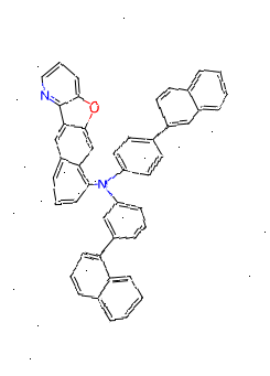 c1cc(-c2cccc3ccccc23)cc(N(c2ccc(-c3ccc4ccccc4c3)cc2)c2cccc3cc4c(cc23)oc2cccnc24)c1